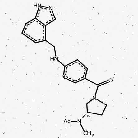 CC(=O)N(C)[C@H]1CCN(C(=O)c2ccc(NCc3cccc4[nH]ncc34)nc2)C1